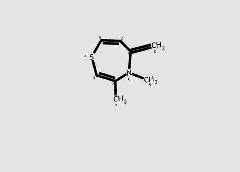 C=C1C=CSC=C(C)N1C